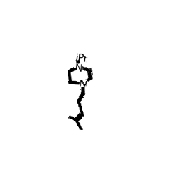 CC(C)=CCCN1CCN(C(C)C)CC1